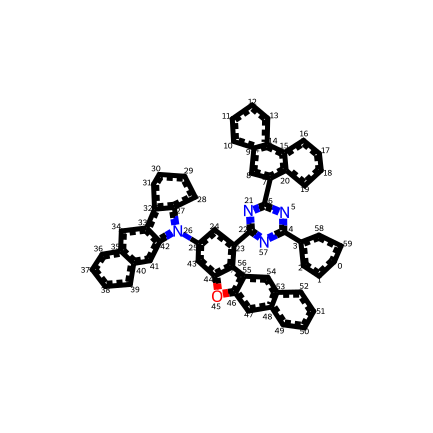 c1ccc(-c2nc(-c3cc4ccccc4c4ccccc34)nc(-c3cc(-n4c5ccccc5c5cc6ccccc6cc54)cc4oc5cc6ccccc6cc5c34)n2)cc1